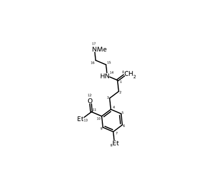 C=C(CCc1ccc(CC)cc1C(=O)CC)NCCNC